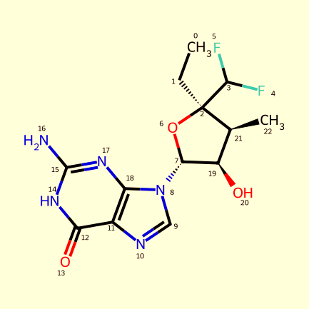 CC[C@@]1(C(F)F)O[C@@H](n2cnc3c(=O)[nH]c(N)nc32)[C@H](O)[C@@H]1C